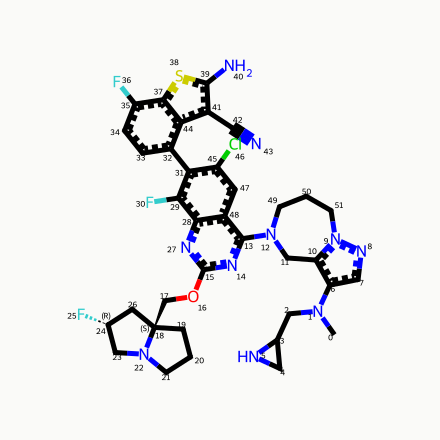 CN(CC1CN1)c1cnn2c1CN(c1nc(OC[C@@]34CCCN3C[C@H](F)C4)nc3c(F)c(-c4ccc(F)c5sc(N)c(C#N)c45)c(Cl)cc13)CCC2